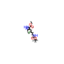 CCOC(=O)c1[nH]nc(C)c1CC(F)=CCNC(=O)OC(C)(C)C